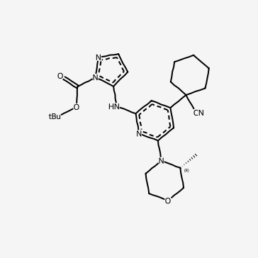 C[C@@H]1COCCN1c1cc(C2(C#N)CCCCC2)cc(Nc2ccnn2C(=O)OC(C)(C)C)n1